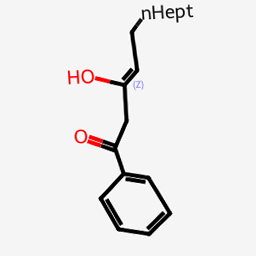 CCCCCCCC/C=C(\O)CC(=O)c1ccccc1